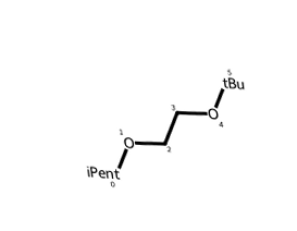 CCCC(C)OCCOC(C)(C)C